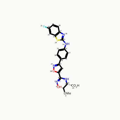 COC[C@H](N/C(=N\O)c1cc(-c2ccc(Nc3nc4ccc(F)cc4s3)cc2)no1)C(=O)O